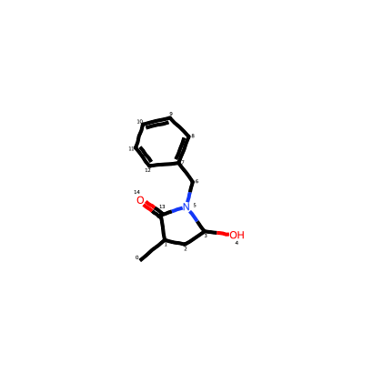 CC1CC(O)N(Cc2ccccc2)C1=O